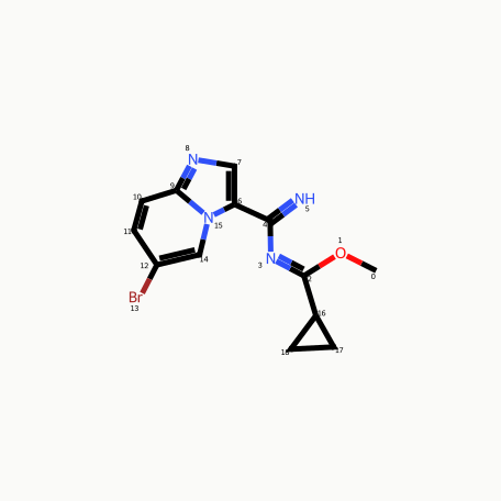 CO/C(=N\C(=N)c1cnc2ccc(Br)cn12)C1CC1